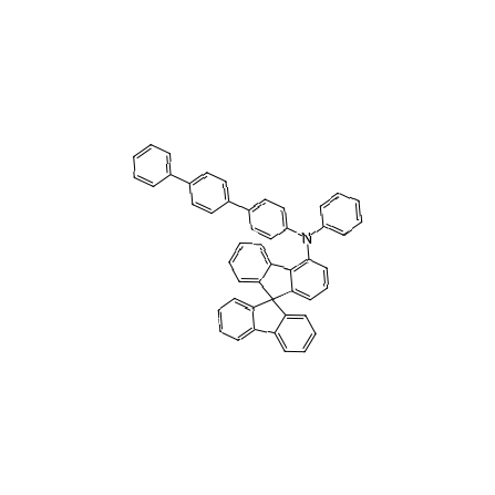 c1ccc(-c2ccc(-c3ccc(N(c4ccccc4)c4cccc5c4-c4ccccc4C54c5ccccc5-c5ccccc54)cc3)cc2)cc1